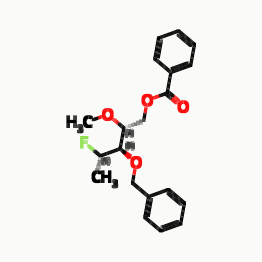 CO[C@H](COC(=O)c1ccccc1)[C@@H](OCc1ccccc1)[C@H](C)F